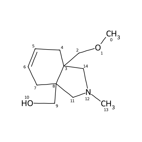 COCC12CC=CCC1(CO)CN(C)C2